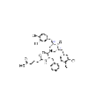 O=C(O)CCCC(=O)NC(Cc1ccccc1)C(=O)N1C/C(=C\c2ccc(Cl)c(Cl)c2)C(=O)/C(=C/c2ccc(Cl)c(Cl)c2)C1